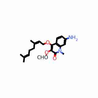 CC(C)=CCCC(C)=CCOc1c(OC=O)c(=O)n(C)c2cc(N)ccc12